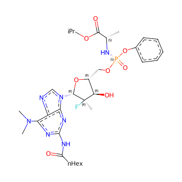 CCCCCCC(=O)Nc1nc(N(C)C)c2ncn([C@@H]3O[C@H](CO[P@@](=O)(N[C@@H](C)C(=O)OC(C)C)Oc4ccccc4)[C@@H](O)[C@@]3(C)F)c2n1